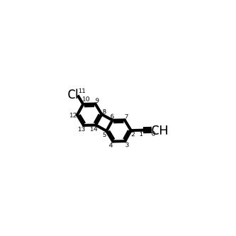 C#Cc1ccc2c(c1)-c1cc(Cl)ccc1-2